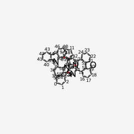 c1ccc(-c2nc(-c3ccccc3)nc(-c3cccc4oc5cccc(-c6ccc7c(c6)sc6cccc(-n8c9ccccc9c9ccccc98)c67)c5c34)n2)cc1